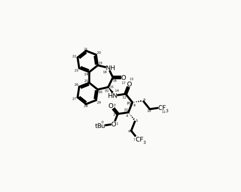 CC(C)(C)OC(=O)[C@@H](CCC(F)(F)F)[C@@H](CCC(F)(F)F)C(=O)N[C@@H]1C(=O)Nc2ccccc2-c2ccccc21